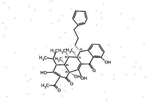 CC(=O)C1=C(O)C(C(C)C)[C@@]2(C)[C@H](C)[C@]3(C)C(=C(O)[C@@]2(O)C1=O)C(=O)c1c(O)cccc1[C@H]3CCCc1ccccc1